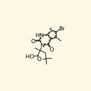 Cc1c(Br)sc2[nH]c(=O)n(C(C)(CC(C)(C)C)C(=O)O)c(=O)c12